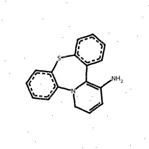 NC1=C2c3ccccc3Sc3ccccc3N2CC=C1